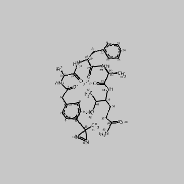 CC(C)[C@H](NC(=O)Cc1ccc(C2(C(F)(F)F)N=N2)cc1)C(=O)N[C@@H](Cc1ccccc1)C(=O)N[C@@H](C)C(=O)NC(CCC(N)=O)C(O)C(F)(F)F